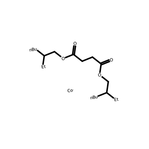 CCCCC(CC)COC(=O)CCC(=O)OCC(CC)CCCC.[Co]